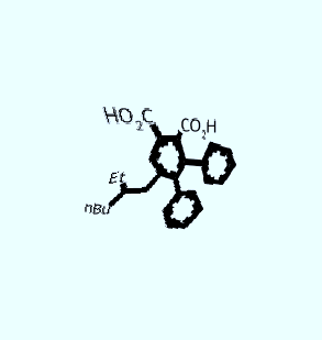 CCCCC(CC)Cc1cc(C(=O)O)c(C(=O)O)c(-c2ccccc2)c1-c1ccccc1